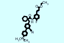 CCOC(=O)/C=C/c1ccc(F)c(NC(=O)C2(Cc3ccc(-c4ccc(N(C)C)cc4)c(C#N)c3)CCCCC2)c1